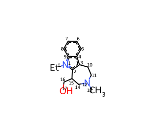 CCn1c2c(c3ccccc31)CCN(C)CC2CO